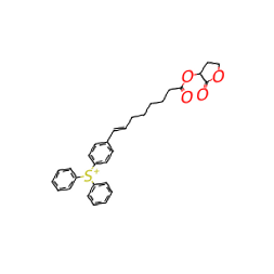 O=C(CCCCC/C=C/c1ccc([S+](c2ccccc2)c2ccccc2)cc1)OC1CCOC1=O